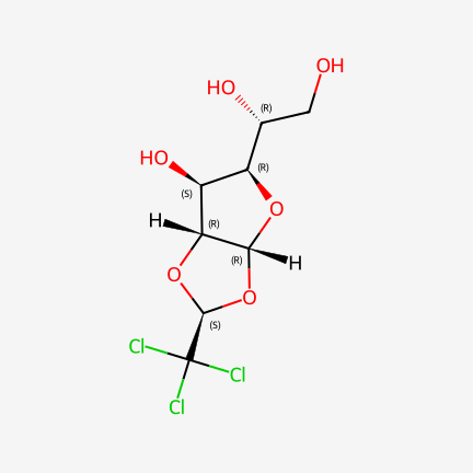 OC[C@@H](O)[C@H]1O[C@@H]2O[C@@H](C(Cl)(Cl)Cl)O[C@@H]2[C@H]1O